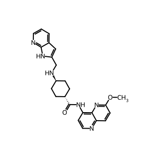 COc1ccc2nccc(NC(=O)[C@H]3CC[C@H](NCc4cc5cccnc5[nH]4)CC3)c2n1